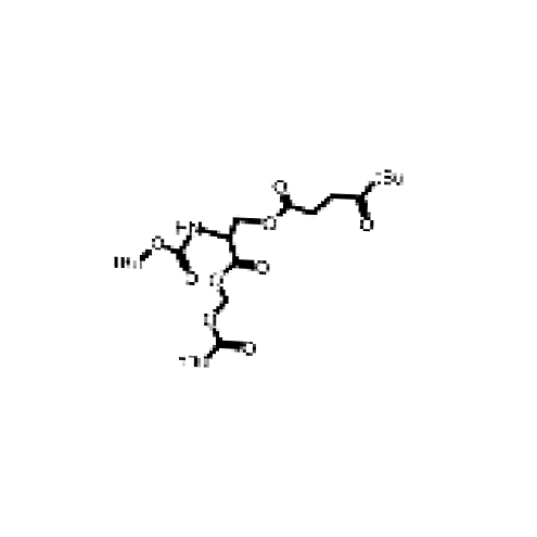 CC(C)(C)OC(=O)NC(COC(=O)CCC(=O)C(C)(C)C)C(=O)OCOC(=O)C(C)(C)C